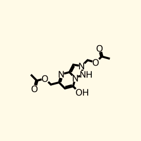 CC(=O)OCC1=NC2=CN(COC(C)=O)NN2C(O)=C1